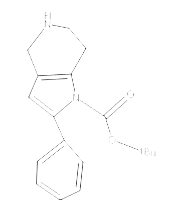 CC(C)(C)OC(=O)n1c(-c2ccccc2)cc2c1CCNC2